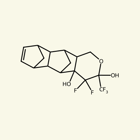 OC12C(COC(O)(C(F)(F)F)C1(F)F)C1CC2C2C3C=CC(C3)C12